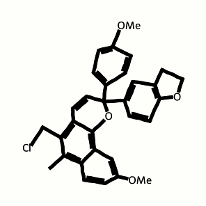 COc1ccc(C2(c3ccc4c(c3)CCO4)C=Cc3c(CCl)c(C)c4ccc(OC)cc4c3O2)cc1